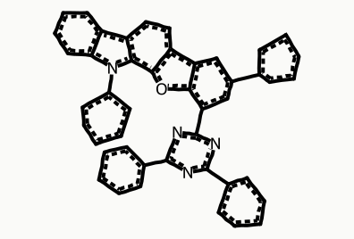 c1ccc(-c2cc(-c3nc(-c4ccccc4)nc(-c4ccccc4)n3)c3oc4c(ccc5c6ccccc6n(-c6ccccc6)c54)c3c2)cc1